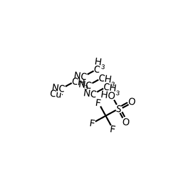 CC#N.CC#N.CC#N.CC#N.O=S(=O)(O)C(F)(F)F.[Cu]